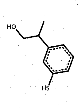 CC(CO)c1cccc(S)c1